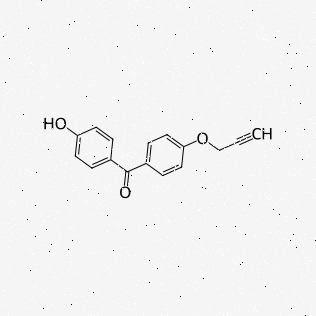 C#CCOc1ccc(C(=O)c2ccc(O)cc2)cc1